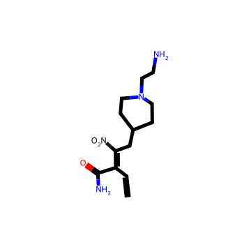 C=C/C(C(N)=O)=C(\CC1CCN(CCN)CC1)[N+](=O)[O-]